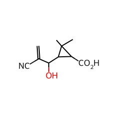 C=C(C#N)C(O)C1C(C(=O)O)C1(C)C